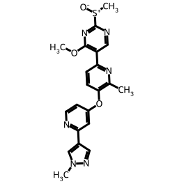 COc1nc([S+](C)[O-])ncc1-c1ccc(Oc2ccnc(-c3cnn(C)c3)c2)c(C)n1